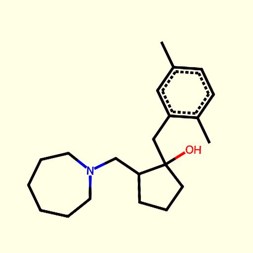 Cc1ccc(C)c(CC2(O)CCCC2CN2CCCCCC2)c1